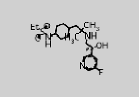 CCS(=O)(=O)NC1CCC(CC(C)(C)NC[C@H](O)c2cncc(F)c2)CC1